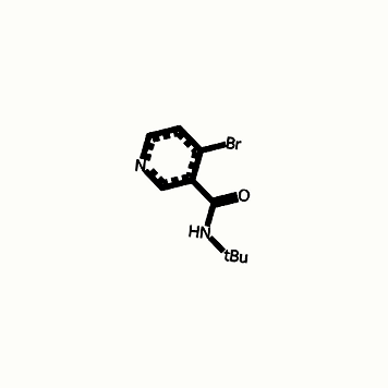 CC(C)(C)NC(=O)c1cnccc1Br